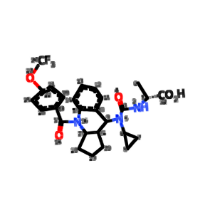 C[C@@H](NC(=O)N(C1CC1)C1c2ccccc2N(C(=O)c2ccc(OC(F)(F)F)cc2)C2CCCC21)C(=O)O